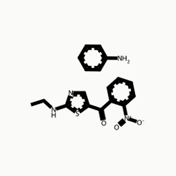 CCNc1ncc(C(=O)c2ccccc2[N+](=O)[O-])s1.Nc1ccccc1